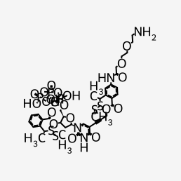 CSSC(C)c1cc(NC(=O)COCCOCCN)ccc1C(=O)OCC#Cc1cn([C@H]2CC(OC(=O)c3ccccc3C(C)SSC)[C@@H](COP(=O)(O)OP(=O)(O)OP(=O)(O)O)O2)c(=O)[nH]c1=O